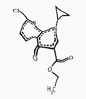 CCOC(=O)c1cn(C2CC2)c2nc(Cl)ccc2c1=O